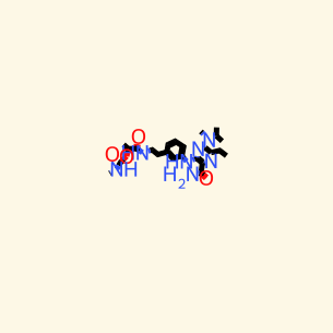 CCc1nc(C(N)=O)c(Nc2cccc(CCNC(=O)C(C)OC(=O)NC)c2)nc1N(C)C(C)C